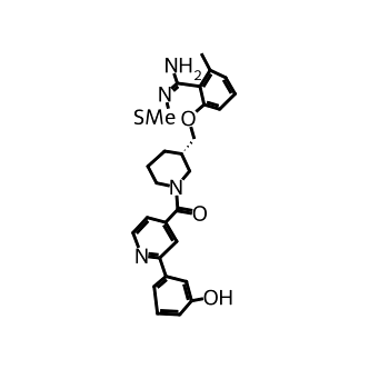 CS/N=C(/N)c1c(C)cccc1OC[C@H]1CCCN(C(=O)c2ccnc(-c3cccc(O)c3)c2)C1